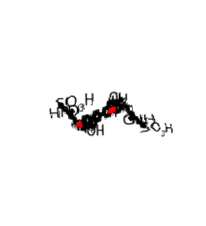 C[C@@H](CCC(=O)NCCS(=O)(=O)O)[C@H]1CC[C@@H]2[C@H]3[C@H](O)CC4CC(C5CC[C@@]6(C)C(C5)C[C@H](O)[C@H]5[C@@H]7CC[C@H]([C@@H](C)CCC(=O)NCCS(=O)(=O)O)[C@@]7(C)CC[C@@H]56)CC[C@@]4(C)[C@@H]3CC[C@]21C